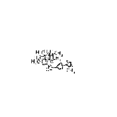 Cc1ncsc1-c1ccc(CNC(=O)[C@H]2C[C@H](C)CN2C(=O)[C@H](NC(C)(C)C)C(C)(C)C)cc1